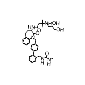 CNC(=O)NCc1ccccc1-c1ccc(CN2C(=O)[C@H](NC(=O)CC(C)(C)NC[C@H](O)CO)CCc3ccccc32)cc1